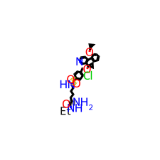 CCNC(=O)[C@@H](N)CCCCNS(=O)(=O)c1ccc(COC2(c3cnccc3-c3ccccc3OC3CC3)CC2)c(Cl)c1